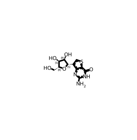 Nc1nc2c([C@@H]3O[C@H](CO)[C@@H](O)[C@H]3O)csc2c(=O)[nH]1